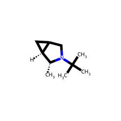 C[C@@H]1[C@H]2CC2CN1C(C)(C)C